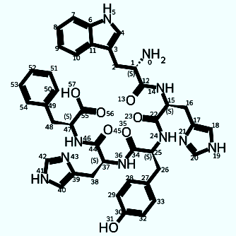 N[C@@H](Cc1c[nH]c2ccccc12)C(=O)N[C@@H](Cc1c[nH]cn1)C(=O)N[C@@H](Cc1ccc(O)cc1)C(=O)N[C@@H](Cc1c[nH]cn1)C(=O)N[C@@H](Cc1ccccc1)C(=O)O